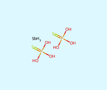 OP(O)(O)=S.OP(O)(O)=S.[SbH3]